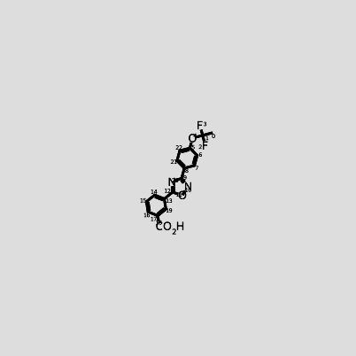 CC(F)(F)Oc1ccc(-c2noc(-c3cccc(C(=O)O)c3)n2)cc1